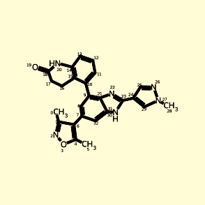 Cc1noc(C)c1-c1cc(-c2cccc3c2CCC(=O)N3)c2nc(-c3cnn(C)c3)[nH]c2c1